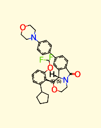 O=C1c2ccc(-c3ccc(N4CCOCC4)cc3)cc2[C@H]2[C@H](c3c(OC(F)F)cccc3C3CCCC3)OCCN12